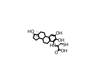 C[C@]12CCC3c4cc(O)c(O)c(N[C@@H](CS)C(=O)O)c4CCC3C1CC[C@@H]2O